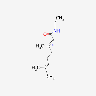 CCNC(=O)/C=C(\C)CCC=C(C)C